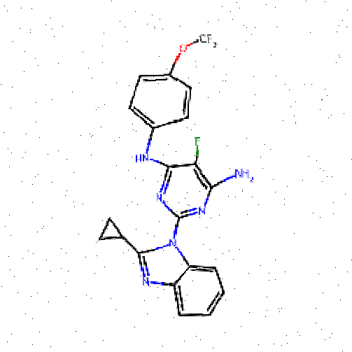 Nc1nc(-n2c(C3CC3)nc3ccccc32)nc(Nc2ccc(OC(F)(F)F)cc2)c1F